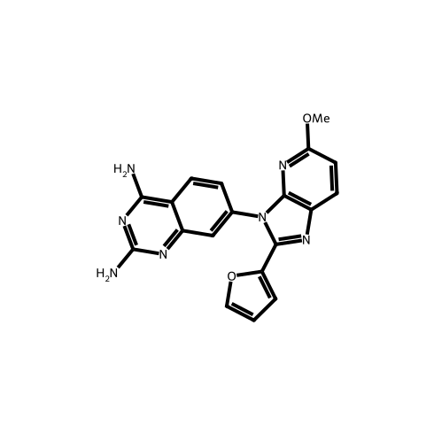 COc1ccc2nc(-c3ccco3)n(-c3ccc4c(N)nc(N)nc4c3)c2n1